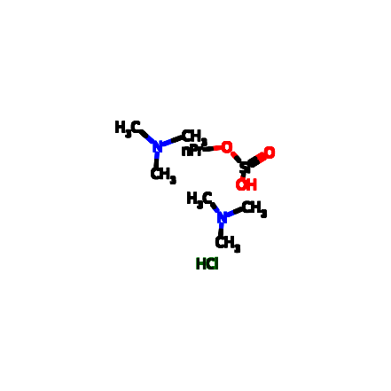 CCCO[Si](=O)O.CN(C)C.CN(C)C.Cl